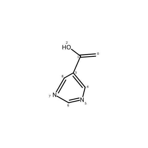 C=C(O)c1cncnc1